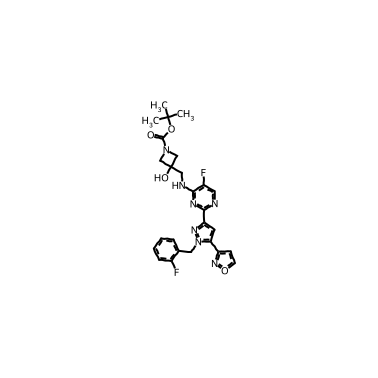 CC(C)(C)OC(=O)N1CC(O)(CNc2nc(-c3cc(-c4ccon4)n(Cc4ccccc4F)n3)ncc2F)C1